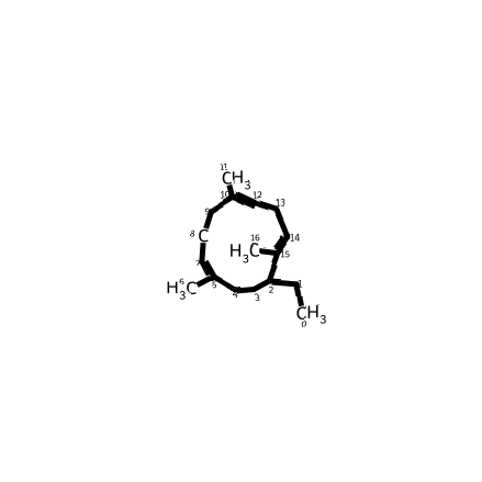 CCC1CC/C(C)=C\CC/C(C)=C\C/C=C/1C